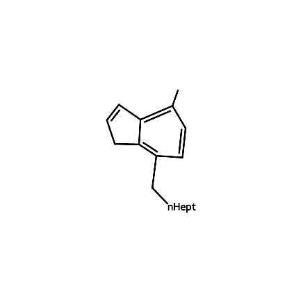 CCCCCCCCc1ccc(C)c2c1CC=C2